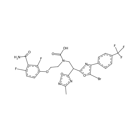 Cc1noc(C(CN(CCOc2ccc(F)c(C(N)=O)c2F)C(=O)O)c2nc(-c3ccc(C(F)(F)F)cc3)c(Br)o2)n1